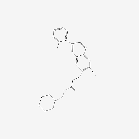 Nc1nc2ccc(-c3ccccc3F)cc2cc1CCC(=O)NCC1CCCCC1